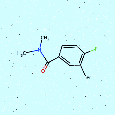 CC(C)c1cc(C(=O)N(C)C)ccc1F